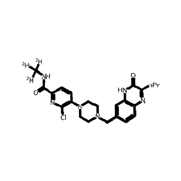 [2H]C([2H])([2H])NC(=O)c1ccc(N2CCN(Cc3ccc4nc(CCC)c(=O)[nH]c4c3)CC2)c(Cl)n1